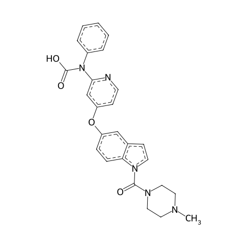 CN1CCN(C(=O)n2ccc3cc(Oc4ccnc(N(C(=O)O)c5ccccc5)c4)ccc32)CC1